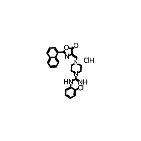 Cl.N=C(Nc1ccccc1Cl)N1CCN(C=C2N=C(c3cccc4ccccc34)OC2=O)CC1